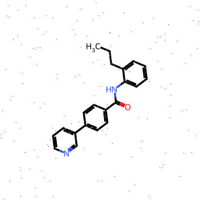 CCCc1ccccc1NC(=O)c1ccc(-c2cccnc2)cc1